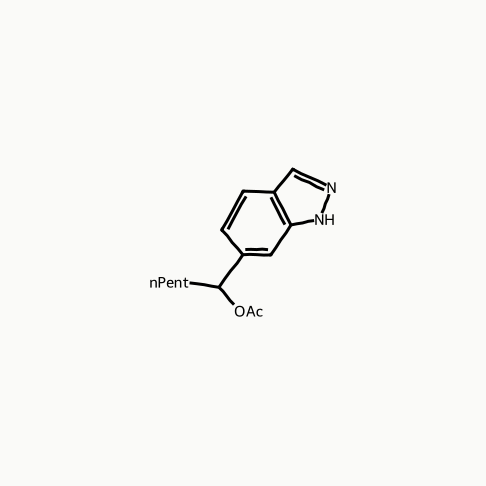 CCCCCC(OC(C)=O)c1ccc2cn[nH]c2c1